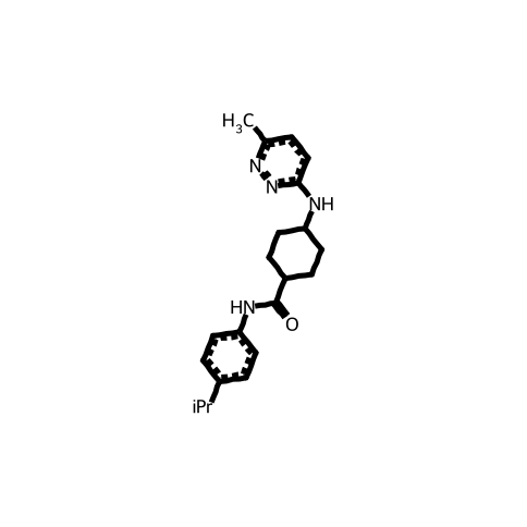 Cc1ccc(NC2CCC(C(=O)Nc3ccc(C(C)C)cc3)CC2)nn1